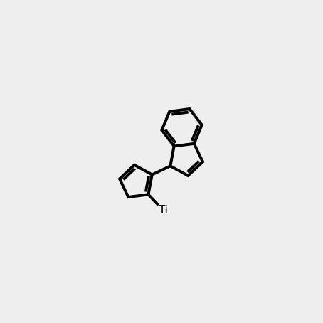 [Ti][C]1=C(C2C=Cc3ccccc32)C=CC1